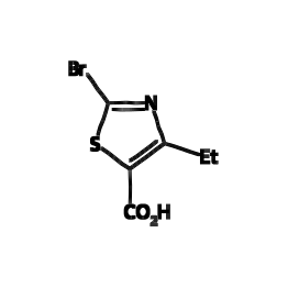 CCc1nc(Br)sc1C(=O)O